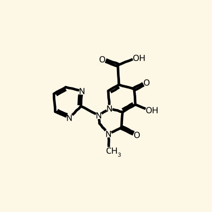 CN1CN(c2ncccn2)n2cc(C(=O)O)c(=O)c(O)c2C1=O